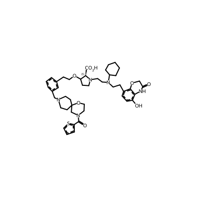 O=C1COc2c(CCN(CCN3CCC(OCCc4cccc(CN5CCC6(CC5)CN(C(=O)c5cccs5)CCO6)c4)[C@H]3C(=O)O)C3CCCCC3)ccc(O)c2N1